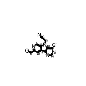 N#CCn1c2cnc(C=O)cc2c2ncnc(Cl)c21